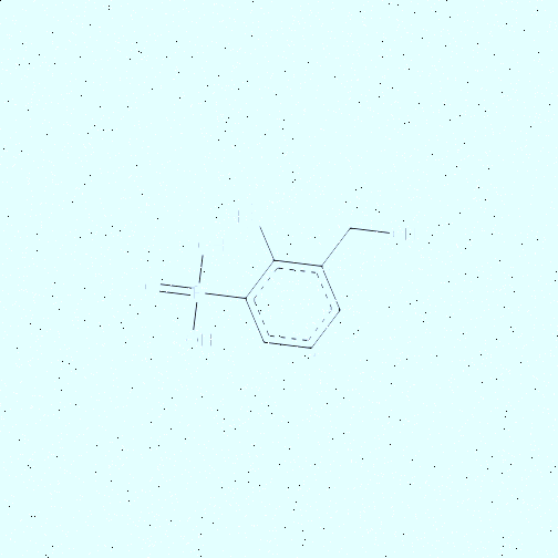 CCc1cccc(P(=O)(O)O)c1C